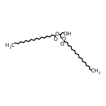 CCCCCCCCCCCCCCCCC(=O)OC(CO)COC(=O)CCCCCCCCCCCCCCC